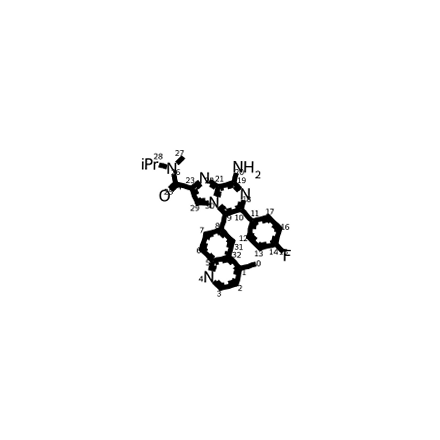 Cc1ccnc2ccc(-c3c(-c4ccc(F)cc4)nc(N)c4nc(C(=O)N(C)C(C)C)cn34)cc12